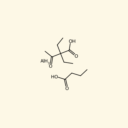 CCC(CC)(C(C)=O)C(=O)O.CCCC(=O)O.[AlH3]